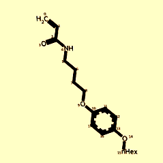 C=CC(=O)NCCCCOc1ccc(OCCCCCC)cc1